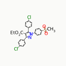 CCOC(=O)c1c(-c2ccc(Cl)cc2)nn(-c2ccc(S(C)(=O)=O)cc2)c1-c1ccc(Cl)cc1